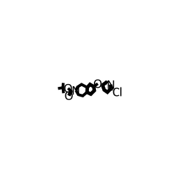 CC(C)(C)OC(=O)N1CCc2ccc(Oc3ccc(Cl)nc3)cc2CC1